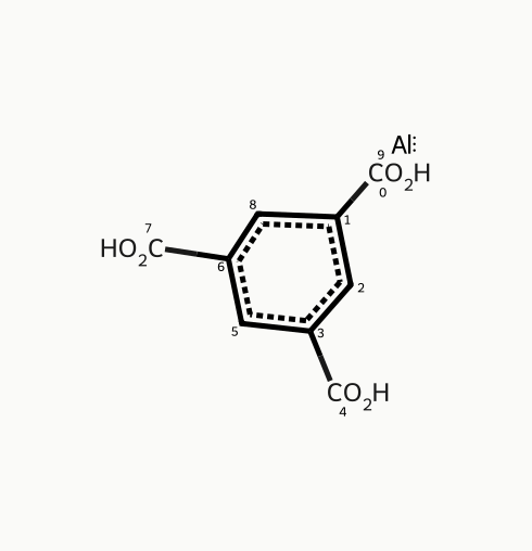 O=C(O)c1cc(C(=O)O)cc(C(=O)O)c1.[Al]